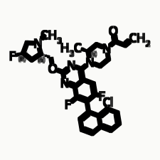 C=CC(=O)N1CCN(c2nc(OC[C@@H]3C[C@@H](F)CN3C)nc3c(F)c(-c4cccc5cccc(Cl)c45)c(F)cc23)[C@@H](C)C1